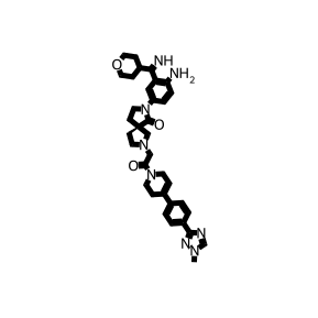 Cn1cnc(-c2ccc(C3=CCN(C(=O)CN4CC[C@]5(CCN(c6ccc(N)c(C(=N)C7CCOCC7)c6)C5=O)C4)CC3)cc2)n1